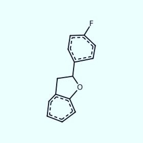 Fc1ccc(C2Cc3ccccc3O2)cc1